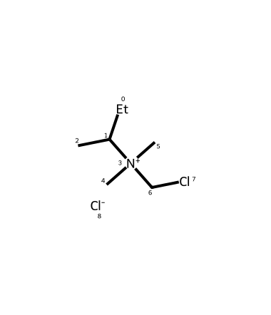 CCC(C)[N+](C)(C)CCl.[Cl-]